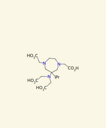 CC(C)C1(N(CC(=O)O)CC(=O)O)CN(CC(=O)O)CCN(CC(=O)O)C1